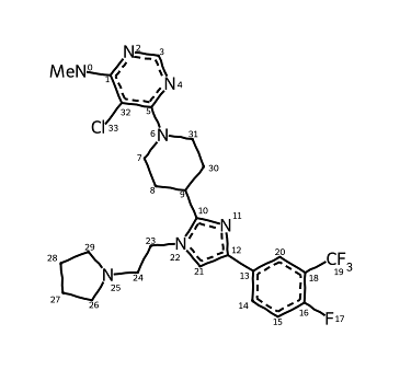 CNc1ncnc(N2CCC(c3nc(-c4ccc(F)c(C(F)(F)F)c4)cn3CCN3CCCC3)CC2)c1Cl